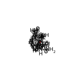 NC(=O)CC[C@H](NC(=O)[C@@H]1CC[C@@H]2CCN(CC3CCN(Cc4cc(F)c5c(c4)CN(C4CCC(=O)NC4=O)C5=O)CC3)C[C@H](NC(=O)c3cc4cc(C(F)(F)P(=O)(O)O)ccc4[nH]3)C(=O)N21)C(=O)NC(c1ccccc1)c1ccccc1